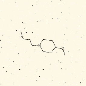 CCCCN1CCC(OC)CC1